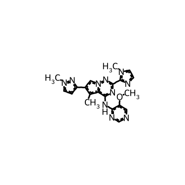 COc1cncnc1Nc1nc(-c2nccn2C)nn2cc(-c3ccn(C)n3)c(C)c12